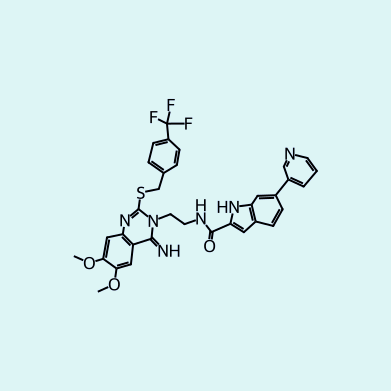 COc1cc2nc(SCc3ccc(C(F)(F)F)cc3)n(CCNC(=O)c3cc4ccc(-c5cccnc5)cc4[nH]3)c(=N)c2cc1OC